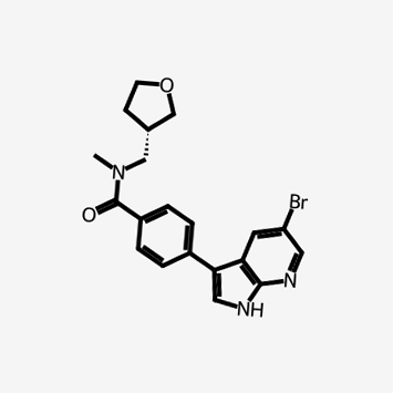 CN(C[C@@H]1CCOC1)C(=O)c1ccc(-c2c[nH]c3ncc(Br)cc23)cc1